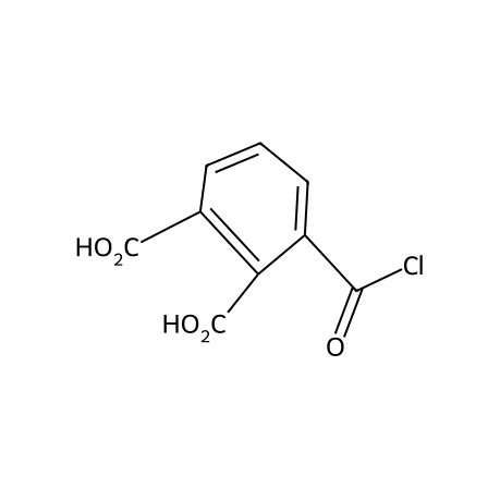 O=C(O)c1cccc(C(=O)Cl)c1C(=O)O